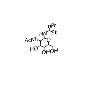 CCCC(CC)NC1OC(CO)C(O)C(O)C1NC(C)=O